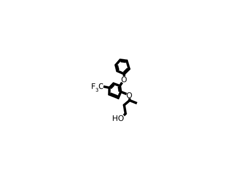 CC(CCO)Oc1ccc(C(F)(F)F)cc1Oc1ccccc1